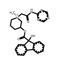 C[N@@+]1(CC(=O)Nc2ncncn2)CCCC(OC(=O)C2(O)c3ccccc3-c3ccccc32)C1